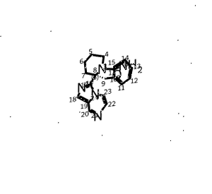 NC(=O)N1CCCC[C@]1(Cc1ccccc1)c1ncc2cnccn12